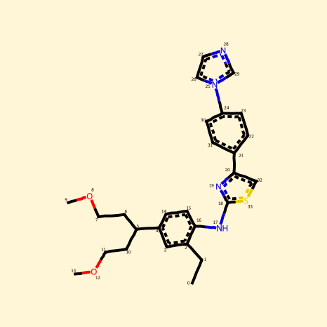 CCc1cc(C(CCOC)CCOC)ccc1Nc1nc(-c2ccc(-n3ccnc3)cc2)cs1